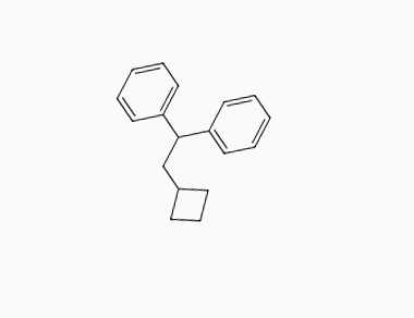 c1ccc(C(CC2CCC2)c2ccccc2)cc1